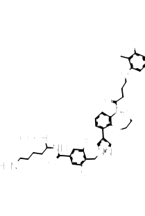 Cc1c(Cl)cccc1OCCCC(=O)N1CCCOc2c(-c3cnn(Cc4c(F)cc(C(=O)NC(CCCCN)C(=O)O)cc4Cl)c3)cccc21